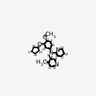 COc1ccc(N(Cc2cnccc2C)c2ccccn2)cc1OC1CCCC1